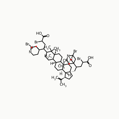 C=C(C)[C@@H]1CC[C@]2(CC(CC(Br)C(=O)O)C34CCN(CC3)N(Br)C4)CC[C@]3(C)[C@H](CC[C@@H]4[C@@]5(C)CCC(C(CC(Br)C(=O)O)C67CCN(CC6)N(Br)C7)C(C)(C)[C@@H]5CC[C@]43C)[C@@H]12